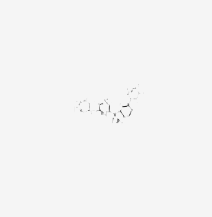 c1cc2[nH]nc(-c3cncc(OC4CCCNC4)n3)c2cc1C1CCCOC1